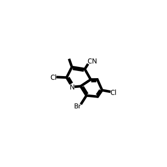 Cc1c(Cl)nc2c(Br)cc(Cl)cc2c1C#N